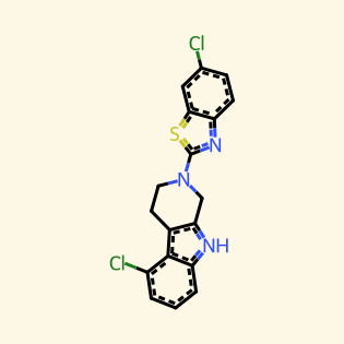 Clc1ccc2nc(N3CCc4c([nH]c5cccc(Cl)c45)C3)sc2c1